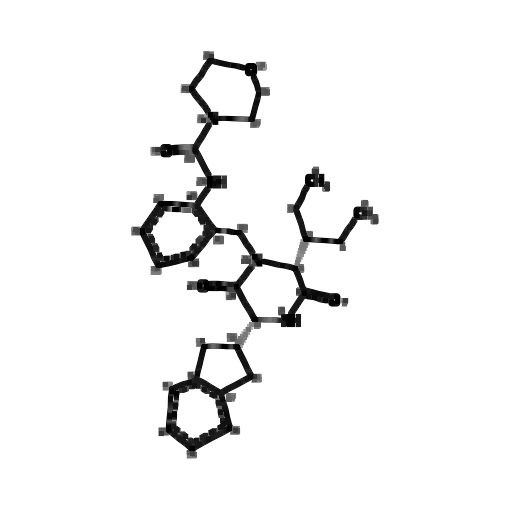 CCC(CC)[C@@H]1C(=O)N[C@H](C2Cc3ccccc3C2)C(=O)N1Cc1ccccc1NC(=O)N1CCOCC1